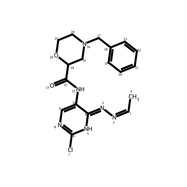 C/C=N\N=c1/[nH]c(Cl)ncc1NC(=O)C1CN(Cc2ccccc2)CCO1